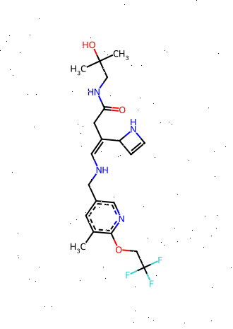 Cc1cc(CN/C=C(/CC(=O)NCC(C)(C)O)C2C=CN2)cnc1OCC(F)(F)F